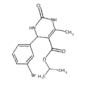 CC1=C(C(=O)OC(C)C)C(c2cccc(Br)c2)NC(=O)N1